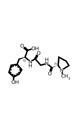 CN1CCC[C@H]1C(=O)NCC(=O)N[C@@H](Cc1ccc(O)cc1)C(=O)O